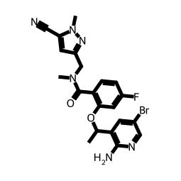 CC(Oc1cc(F)ccc1C(=O)N(C)Cc1cc(C#N)n(C)n1)c1cc(Br)cnc1N